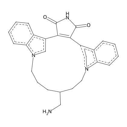 NCC1CCCn2cc(c3ccccc32)C2=C(C(=O)NC2=O)c2cn(c3ccccc23)CC1